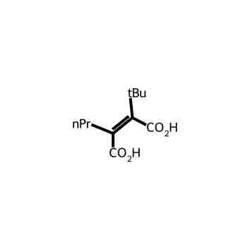 CCCC(C(=O)O)=C(C(=O)O)C(C)(C)C